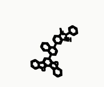 CN1c2ccc(-c3ccc(-c4cc5c6ccccc6oc5c5c4oc4ccccc45)c4ccccc34)cc2NC1c1ccccc1